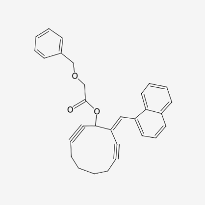 O=C(COCc1ccccc1)OC1C#CCCCCC#C/C1=C\c1cccc2ccccc12